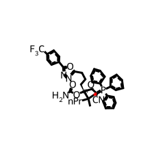 CCCC(C)(C)[C@](CCCc1nnc(-c2ccc(C(F)(F)F)cc2)o1)(OC(N)=O)C(=O)C(C#N)=P(c1ccccc1)(c1ccccc1)c1ccccc1